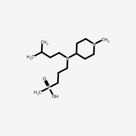 CC(C)CCN(CCCP(C)(=O)O)C1CCN(C)CC1